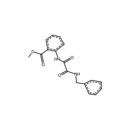 COC(=O)c1ccccc1NC(=O)C(=O)NCc1ccccc1